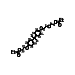 CCC(=O)OCCOCCOc1ccc(C(C)(C)c2ccc(OCCOC(=O)CC)cc2)cc1